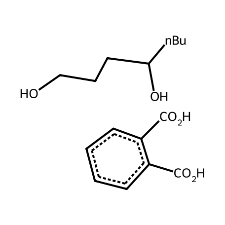 CCCCC(O)CCCO.O=C(O)c1ccccc1C(=O)O